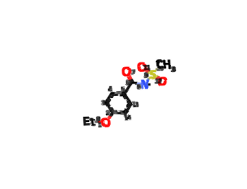 CCOc1ccc(C(=O)[N]S(C)(=O)=O)cc1